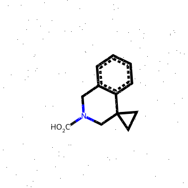 O=C(O)N1Cc2ccccc2C2(CC2)C1